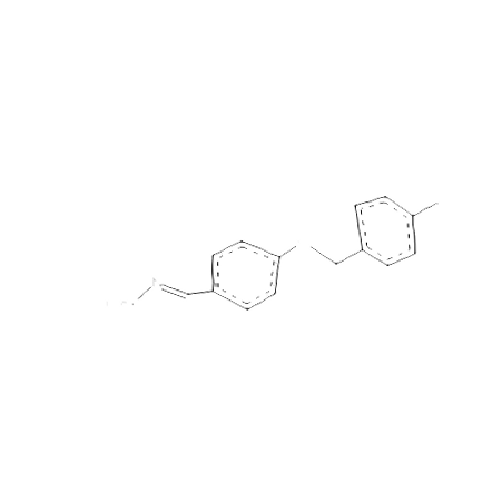 CCCCCCN=Cc1ccc(OCc2ccc(CC)cc2)cc1